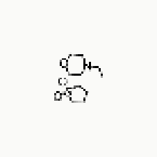 CCN1CCOCC1.O=S1(=O)CCCC1